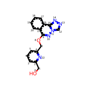 OCc1cccc(COc2nn3cnnc3c3ccccc23)n1